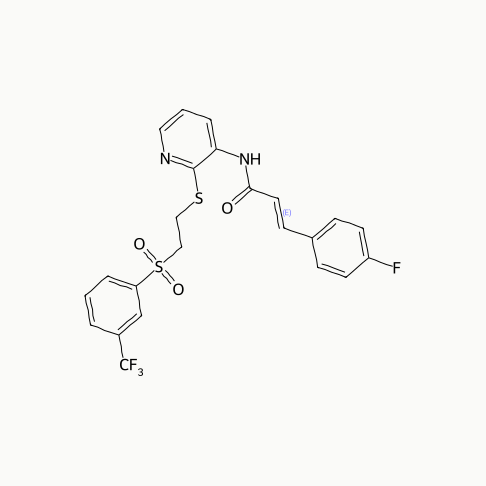 O=C(/C=C/c1ccc(F)cc1)Nc1cccnc1SCCS(=O)(=O)c1cccc(C(F)(F)F)c1